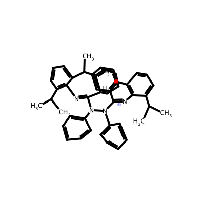 CC(C)c1cccc2c1N=C(N(c1ccccc1)N(/C(=N/c1c(C(C)C)cccc1C(C)C)c1ccccc1)c1ccccc1)c1ccccc1C2C